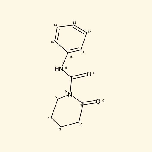 O=C1CCCCN1C(=O)Nc1ccccc1